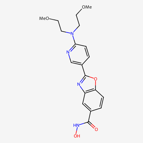 COCCN(CCOC)c1ccc(-c2nc3cc(C(=O)NO)ccc3o2)cn1